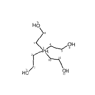 OCC[PH](CCO)(CCO)CCO